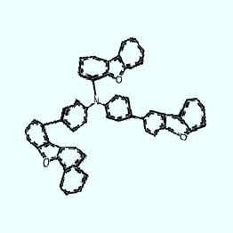 c1ccc2c(c1)ccc1c2oc2cccc(-c3ccc(N(c4ccc(-c5ccc6oc7ccccc7c6c5)cc4)c4cccc5c4oc4ccccc45)cc3)c21